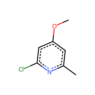 COc1cc(C)nc(Cl)c1